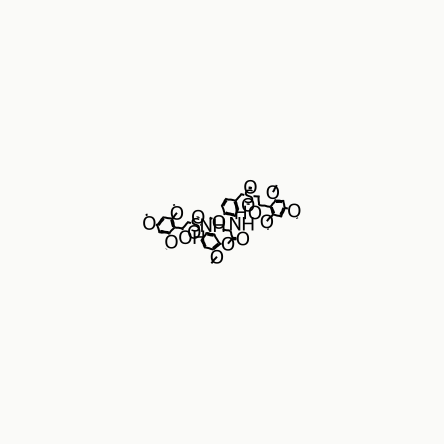 COc1cc(OC)c(C(O)CS(=O)(=O)Cc2ccc(OC)c(NC(C)C(=O)Oc3cc(NS(=O)(=O)CC(O)c4c(OC)cc(OC)cc4OC)ccc3OC)c2)c(OC)c1